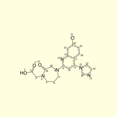 O=C(O)CN1CCCN(c2cc(-n3ccnc3)c3ccc(Cl)cc3n2)CC1=O